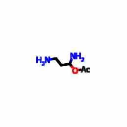 CC(=O)OC(N)CCN